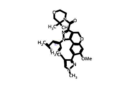 C=C/C(=C\C(=C)F)n1nc(C(=O)N2CCOCC2(C)C)c2c1-c1cc(-c3nn(C)cc3Cl)c(OC)cc1OC2